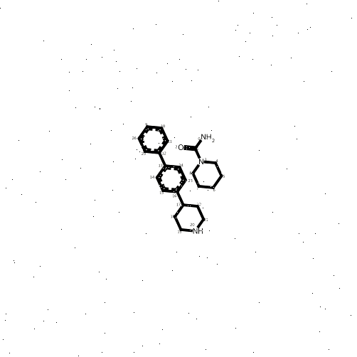 NC(=O)N1CCCCC1.c1ccc(-c2ccc(C3CCNCC3)cc2)cc1